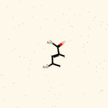 CC(=O)OC(=O)C(C)=CC(C)OC(C)=O